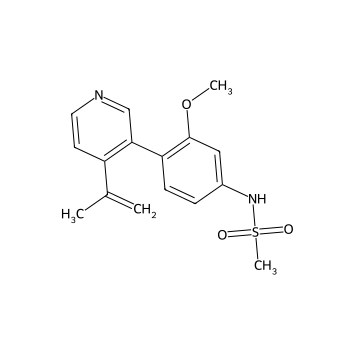 C=C(C)c1ccncc1-c1ccc(NS(C)(=O)=O)cc1OC